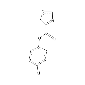 O=C(Oc1ccc(Cl)nc1)c1cocn1